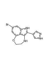 Brc1cc2c3c(c(-c4cn[nH]c4)[nH]c3c1)NCCO2